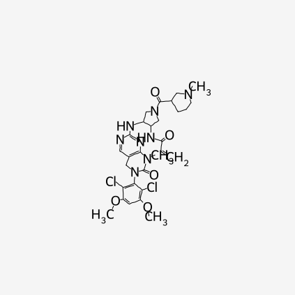 C=CC(=O)NC1CN(C(=O)C2CCCN(C)C2)CC1Nc1ncc2c(n1)N(C)C(=O)N(c1c(Cl)c(OC)cc(OC)c1Cl)C2